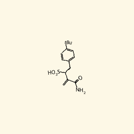 C=C(C(N)=O)C(Cc1ccc(C(C)(C)C)cc1)S(=O)(=O)O